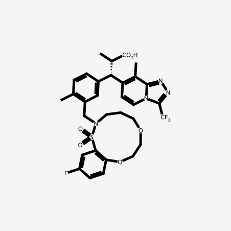 Cc1ccc([C@@H](c2ccn3c(C(F)(F)F)nnc3c2C)C(C)C(=O)O)cc1CN1CCCOCCOc2ccc(F)cc2S1(=O)=O